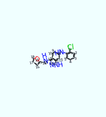 Clc1ccccc1Nc1ccc2c(NCc3ccco3)n[nH]c2c1